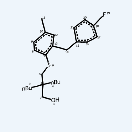 CCCCC(CO)(CCCC)CSc1ccc(C)cc1Cc1ccc(F)cc1